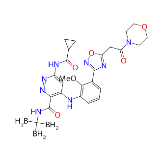 BC(B)(B)NC(=O)c1nnc(NC(=O)C2CC2)cc1Nc1cccc(-c2noc(CC(=O)N3CCOCC3)n2)c1OC